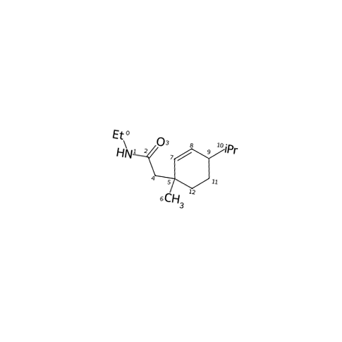 CCNC(=O)CC1(C)C=CC(C(C)C)CC1